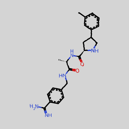 Cc1cccc(C2CN[C@@H](C(=O)N[C@@H](C)C(=O)NCc3ccc(C(=N)N)cc3)C2)c1